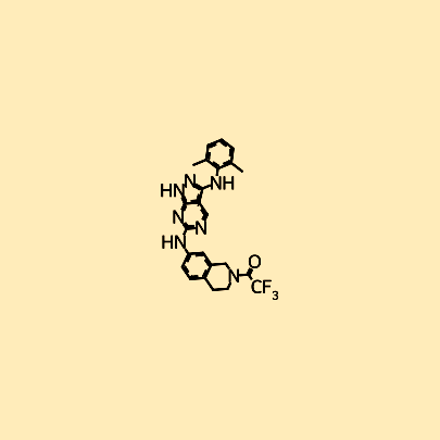 Cc1cccc(C)c1Nc1n[nH]c2nc(Nc3ccc4c(c3)CN(C(=O)C(F)(F)F)CC4)ncc12